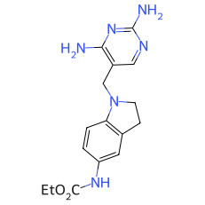 CCOC(=O)Nc1ccc2c(c1)CCN2Cc1cnc(N)nc1N